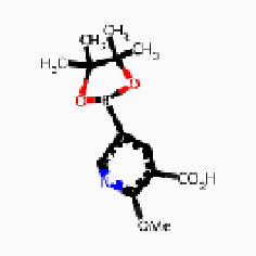 COc1ncc(B2OC(C)(C)C(C)(C)O2)cc1C(=O)O